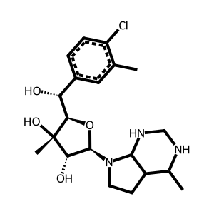 Cc1cc([C@@H](O)[C@H]2O[C@@H](N3CCC4C(C)NCNC43)[C@H](O)[C@]2(C)O)ccc1Cl